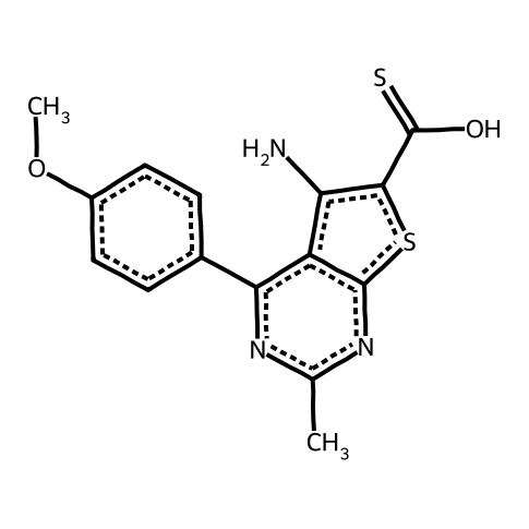 COc1ccc(-c2nc(C)nc3sc(C(O)=S)c(N)c23)cc1